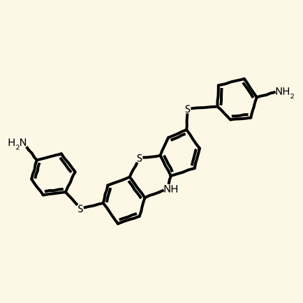 Nc1ccc(Sc2ccc3c(c2)Sc2cc(Sc4ccc(N)cc4)ccc2N3)cc1